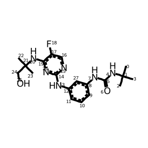 CC(C)(C)NC(=O)Nc1cccc(Nc2ncc(F)c(NC(C)(C)CO)n2)c1